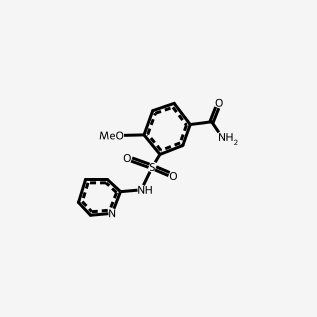 COc1ccc(C(N)=O)cc1S(=O)(=O)Nc1ccccn1